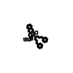 CC(C)(C)OC(=O)N(C(=O)[C@@H]1Cc2ccccc2CN1)C(CCCc1ccccc1)CCCc1ccccc1